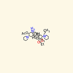 C=CC[N+]1(C2C[C@H]3[C@@H]4CC[C@@]5(N)C[C@H](OC(C)=O)[C@@H](N6CCCCC6)CC5(C)[C@H]4CC[C@]3(C)[C@H]2OC(=O)CC)CCCCC1